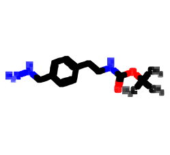 CC(C)(C)OC(=O)NCCc1ccc(CNN)cc1